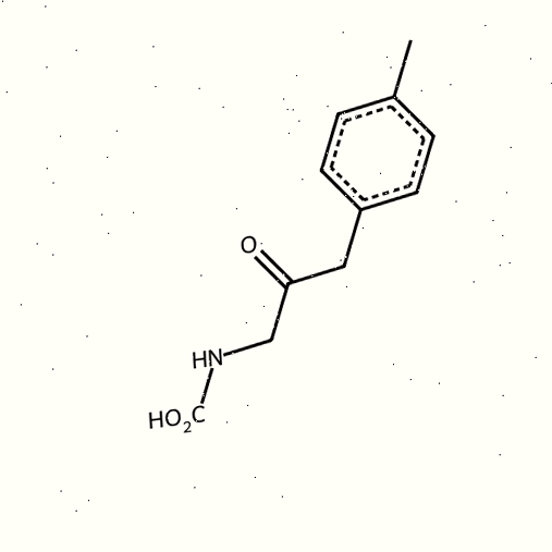 Cc1ccc(CC(=O)CNC(=O)O)cc1